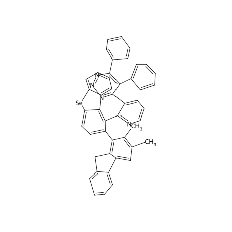 Cc1cc2c(c(-c3ccc4[se]c5ccccc5c4c3-c3ncccc3-c3nnnc(-c4ccccc4)c3-c3ccccc3)c1C)Cc1ccccc1-2